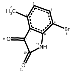 Cc1ccc(Br)c2c1C(=O)C(=O)N2